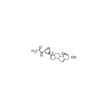 CC(=O)Nc1cncc(C2=CCC3C4CC=C5C[C@@H](O)CC[C@]5(C)C4CC[C@]23C)c1